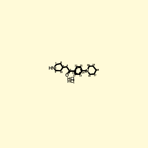 Cl.Cl.O=C(CC1CCNCC1)c1ccc(N2CCCCC2)cc1